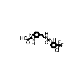 O=C(NCCc1ccc2nc(C(=O)O)[nH]c2c1)Nc1ccc(Cl)c(C(F)(F)F)c1